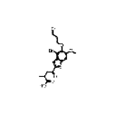 COc1cc2sc(C(=O)C[C@H](C)C(=O)O)cc2c(Br)c1OCCCBr